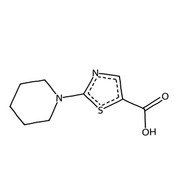 O=C(O)c1cnc(N2CCCCC2)s1